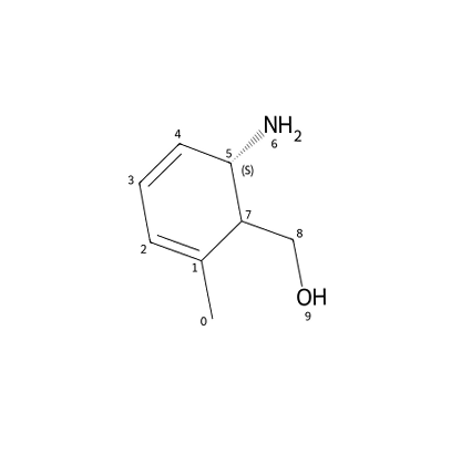 CC1=CC=C[C@H](N)C1CO